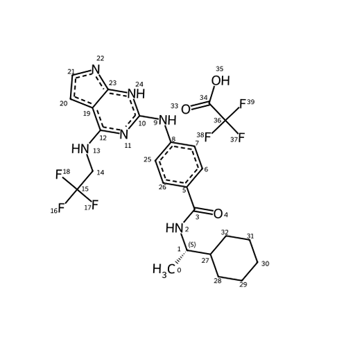 C[C@H](NC(=O)c1ccc(Nc2nc(NCC(F)(F)F)c3ccnc-3[nH]2)cc1)C1CCCCC1.O=C(O)C(F)(F)F